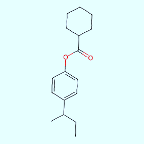 CCC(C)c1ccc(OC(=O)C2CCCCC2)cc1